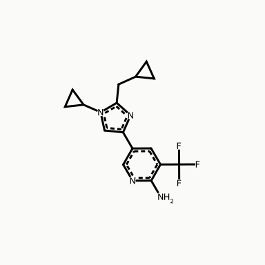 Nc1ncc(-c2cn(C3CC3)c(CC3CC3)n2)cc1C(F)(F)F